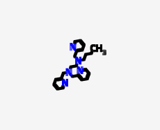 CCCCN(CCN(Cc1ccccn1)Cc1ccccn1)Cc1ccccn1